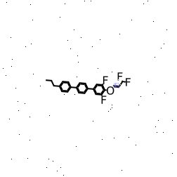 CCCc1ccc(-c2ccc(-c3cc(F)c(O/C=C/C(F)F)c(F)c3)cc2)cc1